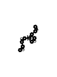 c1ccc2c(c1)oc1ccc(-c3ccc4oc5ccc(-c6nc(-c7cccc8oc9ccccc9c78)c7oc8cc(-c9ccc%10sc%11ccccc%11c%10c9)ccc8c7n6)cc5c4c3)cc12